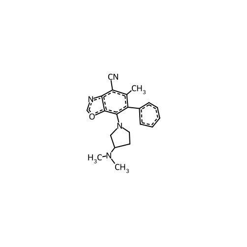 Cc1c(-c2ccccc2)c(N2CCC(N(C)C)C2)c2ocnc2c1C#N